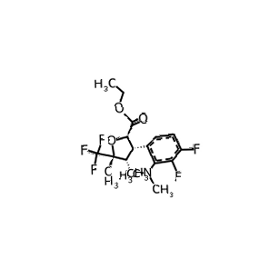 CCOC(=O)[C@@H]1O[C@@](C)(C(F)(F)F)[C@@H](C)[C@H]1c1ccc(F)c(F)c1N(C)C